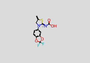 C=C1CN(c2ccc3c(c2)OC(F)(F)O3)/C(=N/C(=O)O)S1